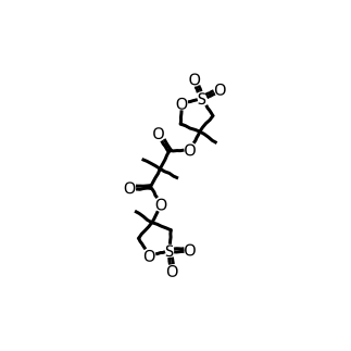 CC1(OC(=O)C(C)(C)C(=O)OC2(C)COS(=O)(=O)C2)COS(=O)(=O)C1